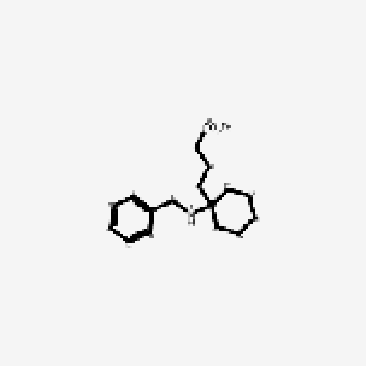 CCOC(=O)CCCC1(NCc2ccccc2)CCCCC1